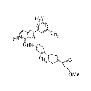 COCCC(=O)N1CCC(c2ccc(Nc3nc(-c4cc(C)nc(N)n4)cc4cc[nH]c(=O)c34)cc2C)CC1